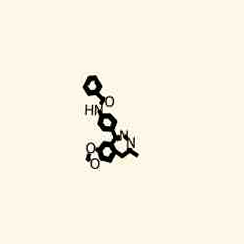 CC1=NN=C(c2ccc(NC(=O)c3ccccc3)cc2)c2cc3c(cc2C1)OCO3